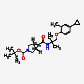 Cc1cc(C2CC2)ccc1OCC(C)(C)NC(=O)[C@H]1[C@@H]2CN(C(=O)OC(C)(C)C)C[C@@H]21